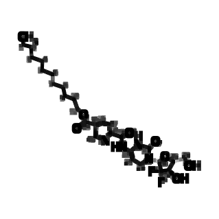 CCCCCCCCCCCCOC(=O)c1ccc(C(=O)NC2=CCN([C@@H]3O[C@H](CO)[C@@H](O)C3(F)F)C(=O)N2)nc1